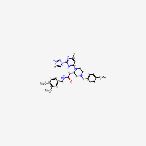 COc1ccc(CN2CCN(c3cc(C)nc(-n4ccnc4)n3)C(CC(=O)NCc3ccc(OC)c(OC)c3)C2)cc1